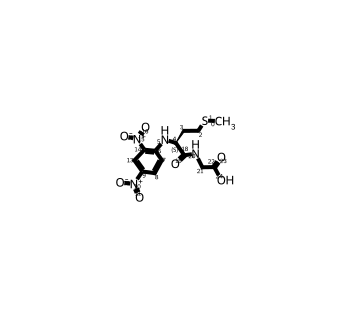 CSCC[C@H](Nc1ccc([N+](=O)[O-])cc1[N+](=O)[O-])C(=O)NCC(=O)O